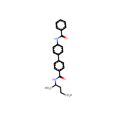 O=C(O)CCC(NC(=O)c1ccc(-c2ccc(NC(=O)c3ccccc3)cc2)cc1)C(=O)O